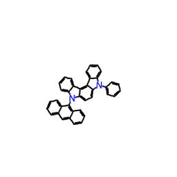 c1ccc(-n2c3ccccc3c3c4c5ccccc5n(-c5c6ccccc6cc6ccccc56)c4ccc32)cc1